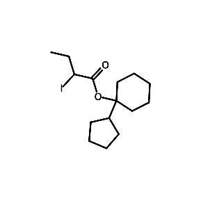 CCC(I)C(=O)OC1(C2CCCC2)CCCCC1